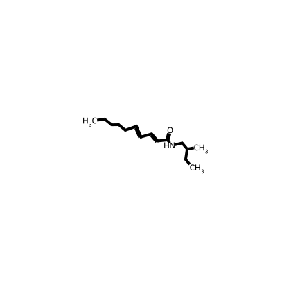 CCCCC/C=C/C=C/C(=O)NCC(C)CC